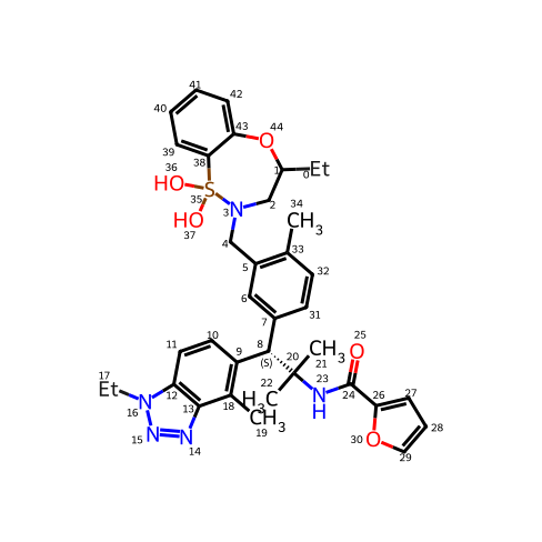 CCC1CN(Cc2cc([C@@H](c3ccc4c(nnn4CC)c3C)C(C)(C)NC(=O)c3ccco3)ccc2C)S(O)(O)c2ccccc2O1